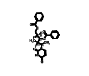 C[C@@H](n1ccc(=O)[nH]c1=O)[C@](C)(F)[C@H](OC(=O)c1ccccc1)[C@@](O)(F)COC(=O)c1ccccc1